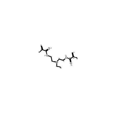 C=C(C)C(=O)OCCN(CC)CCOC(=O)C(=C)C